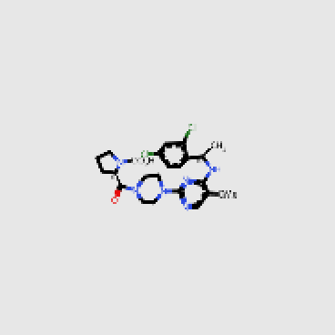 COc1cnc(N2CCN(C(=O)[C@H]3CCCN3C(=O)O)CC2)nc1N[C@H](C)c1ccc(Cl)cc1Cl